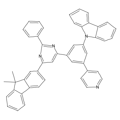 CC1(C)c2ccccc2-c2ccc(-c3cc(-c4cc(-c5ccncc5)cc(-n5c6ccccc6c6ccccc65)c4)nc(-c4ccccc4)n3)cc21